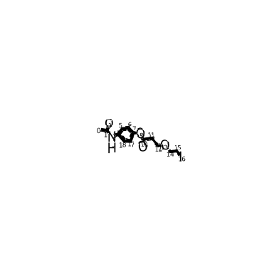 CC(=O)Nc1ccc(OC(=O)CCOCCI)cc1